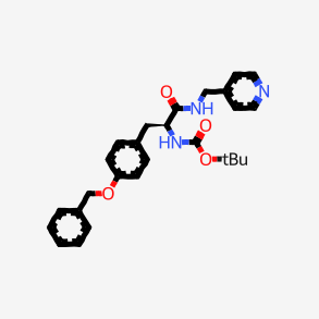 CC(C)(C)OC(=O)N[C@@H](Cc1ccc(OCc2ccccc2)cc1)C(=O)NCc1ccncc1